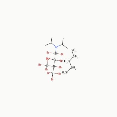 CC(C)N(C(C)C)[Si](Br)(Br)[Si](Br)(Br)[Si](Br)([Si](Br)(Br)Br)[Si](Br)(Br)Br.[SiH3][SiH2][SiH2][SiH2][SiH3]